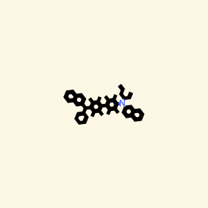 C=CCC(C=C)N(c1ccc2ccccc2c1)c1c(C)c(C)c(-c2c(C)c(C)c(C(C3=CCCC=C3)c3ccc4ccccc4c3)c(C)c2C)c(C)c1C